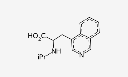 CC(C)NC(Cc1cncc2ccccc12)C(=O)O